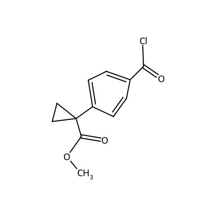 COC(=O)C1(c2ccc(C(=O)Cl)cc2)CC1